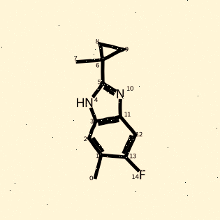 Cc1cc2[nH]c(C3(C)CC3)nc2cc1F